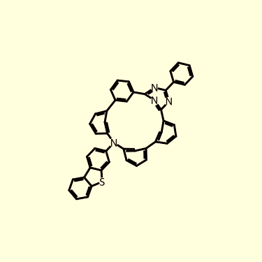 c1ccc(-c2nc3nc(n2)-c2cccc(c2)-c2cccc(c2)N(c2ccc4c(c2)sc2ccccc24)c2cccc(c2)-c2cccc-3c2)cc1